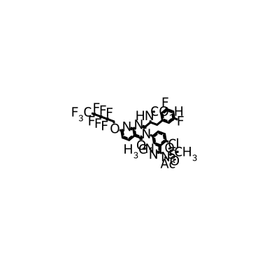 CC(=O)N(c1nn(C)c2c(-n3c(C(Cc4cc(F)cc(F)c4)NC(=O)O)nc4nc(OCC(F)(F)C(F)(F)C(F)(F)C(F)(F)F)ccc4c3=O)ccc(Cl)c12)S(C)(=O)=O